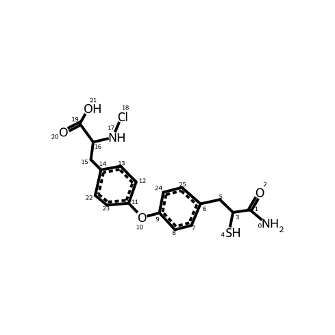 NC(=O)C(S)Cc1ccc(Oc2ccc(CC(NCl)C(=O)O)cc2)cc1